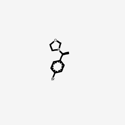 C=C(c1ccc(Br)cc1)N1CCOC1